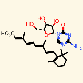 CC1=C(/C=C/C(C)=C/C=C/C(C)=C/C(=O)O)C(C)(C)CCC1.Nc1ncn([C@@H]2O[C@H](CO)[C@@H](O)[C@H]2O)c(=O)n1